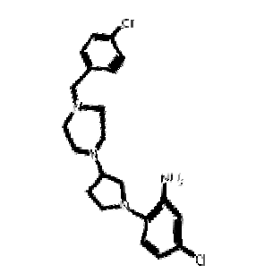 Nc1cc(Cl)ccc1N1C[CH]C(N2CCN(Cc3ccc(Cl)cc3)CC2)C1